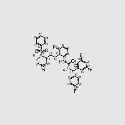 C[C@H](C(=O)Nc1cccc(F)c1CC[C@H]1CNC[C@H](C)N1S(=O)(=O)c1ccccc1)[C@@H](c1ccc(F)cc1)c1cc(F)cc(F)c1